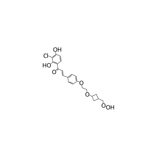 O=C(/C=C/c1ccc(OCCOC2CC(COO)C2)cc1)c1ccc(O)c(Cl)c1O